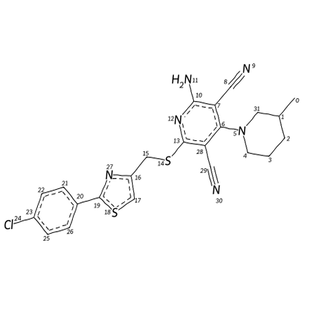 CC1CCCN(c2c(C#N)c(N)nc(SCc3csc(-c4ccc(Cl)cc4)n3)c2C#N)C1